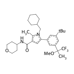 COC(C)(c1cc(-c2cc(C(=O)NC3CCOCC3)c(C)n2CC2CCCCC2)cc(C(C)(C)C)c1)C(F)(F)F